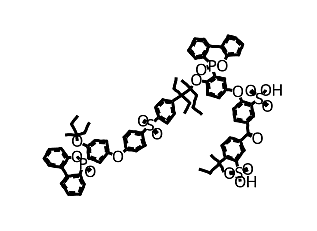 CCCC(C)(Oc1ccc(Oc2ccc(C(=O)c3ccc(C(C)(C)CC)c(S(=O)(=O)O)c3)cc2S(=O)(=O)O)cc1P1(=O)Oc2ccccc2-c2ccccc21)C(CC)(CC)c1ccc(S(=O)(=O)c2ccc(Oc3ccc(OC(C)(CC)CC)c(P4(=O)Oc5ccccc5-c5ccccc54)c3)cc2)cc1